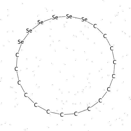 C1CCCCCCCC[Se][Se][Se][Se][Se][Se]CCCCCCC1